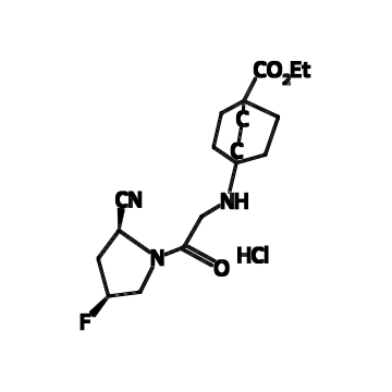 CCOC(=O)C12CCC(NCC(=O)N3C[C@@H](F)C[C@H]3C#N)(CC1)CC2.Cl